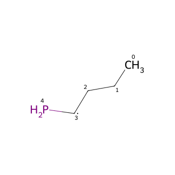 CCC[CH]P